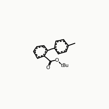 Cc1ccc(-c2ccccc2C(=O)OC(C)(C)C)cc1